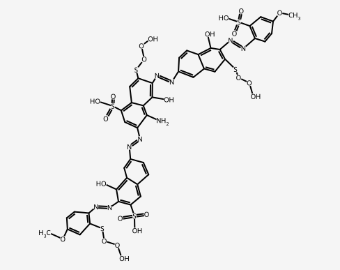 COc1ccc(N=Nc2c(S(=O)(=O)O)cc3ccc(N=Nc4cc(S(=O)(=O)O)c5cc(SOOO)c(N=Nc6ccc7c(O)c(N=Nc8ccc(OC)cc8S(=O)(=O)O)c(SOOO)cc7c6)c(O)c5c4N)cc3c2O)c(SOOO)c1